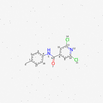 Cc1ccc(NC(=O)c2cc(Cl)nc(Cl)c2)cc1